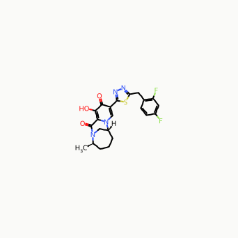 C[C@@H]1CCC[C@@H]2CN1C(=O)c1c(O)c(=O)c(-c3nnc(Cc4ccc(F)cc4F)s3)cn12